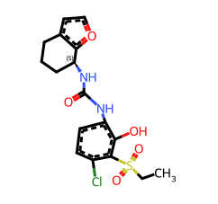 CCS(=O)(=O)c1c(Cl)ccc(NC(=O)N[C@H]2CCCc3ccoc32)c1O